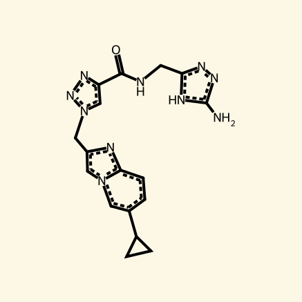 Nc1nnc(CNC(=O)c2cn(Cc3cn4cc(C5CC5)ccc4n3)nn2)[nH]1